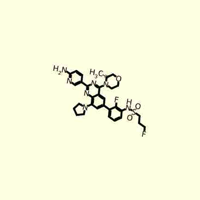 C[C@@H]1COCCN1c1nc(-c2ccc(N)nc2)nc2c(N3CCCC3)cc(-c3cccc(NS(=O)(=O)CCCF)c3F)cc12